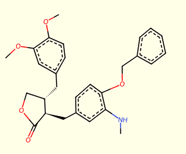 CNc1cc(C[C@H]2C(=O)OC[C@@H]2Cc2ccc(OC)c(OC)c2)ccc1OCc1ccccc1